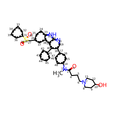 CN(C(=O)CCCN1CCC(O)CC1)c1ccc(-c2cnc3[nH]c4ccc(CS(=O)(=O)c5ccccc5)cc4c3c2-c2ccccc2)cc1